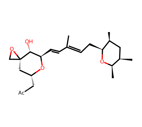 CC(=O)C[C@@H]1C[C@@]2(CO2)[C@H](O)[C@@H](/C=C/C(C)=C/C[C@@H]2O[C@H](C)[C@H](C)C[C@@H]2C)O1